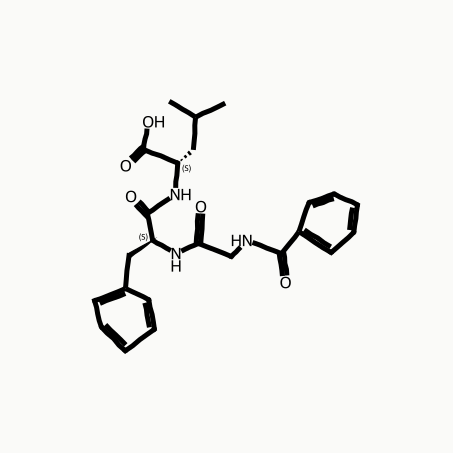 CC(C)C[C@H](NC(=O)[C@H](Cc1ccccc1)NC(=O)CNC(=O)c1ccccc1)C(=O)O